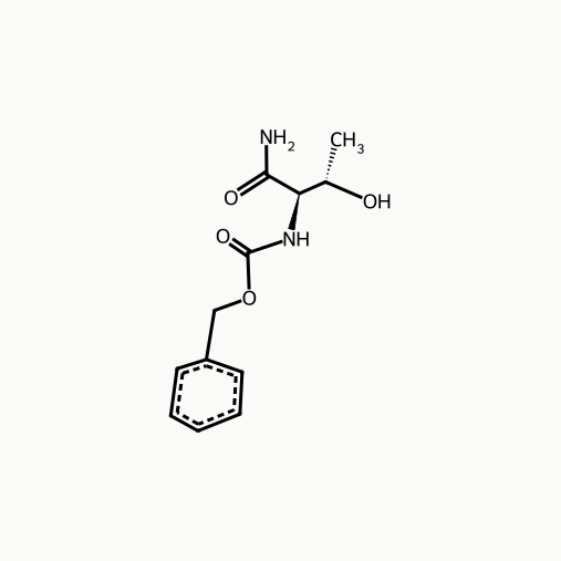 C[C@H](O)[C@@H](NC(=O)OCc1ccccc1)C(N)=O